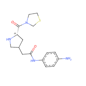 Nc1ccc(NC(=O)CC2CN[C@H](C(=O)N3CCSC3)C2)cc1